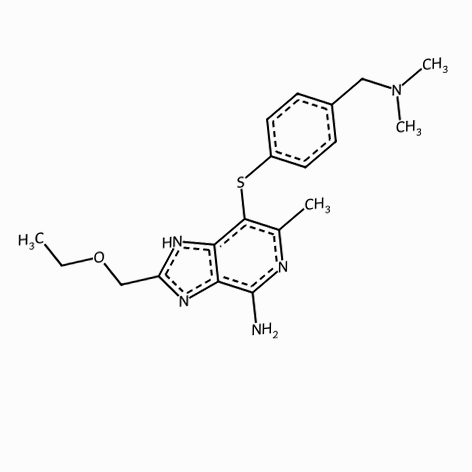 CCOCc1nc2c(N)nc(C)c(Sc3ccc(CN(C)C)cc3)c2[nH]1